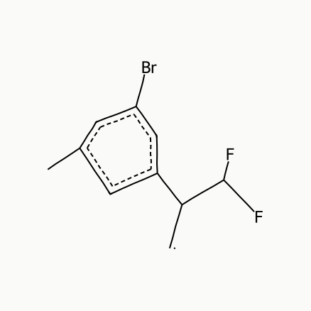 [CH2]C(c1cc(C)cc(Br)c1)C(F)F